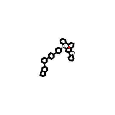 c1ccc(-c2ccccc2N(c2ccc(-c3ccc(-c4cccc(-c5ccc6ccccc6c5)c4)cc3)cc2)c2ccc3oc4ccccc4c3c2)cc1